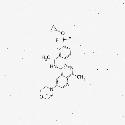 Cc1nnc(N[C@H](C)c2cccc(C(F)(F)OC3CC3)c2)c2cc(N3C4COCC3C4)cnc12